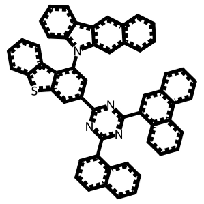 c1ccc2cc3c(cc2c1)c1ccccc1n3-c1cc(-c2nc(-c3cccc4ccccc34)nc(-c3cc4ccccc4c4ccccc34)n2)cc2sc3ccccc3c12